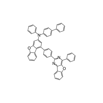 c1ccc(-c2ccc(N(c3ccccc3)c3cc(-c4ccc(-c5nc(-c6ccccc6)c6oc7ccccc7c6n5)cc4)c4c(c3)oc3ccccc34)cc2)cc1